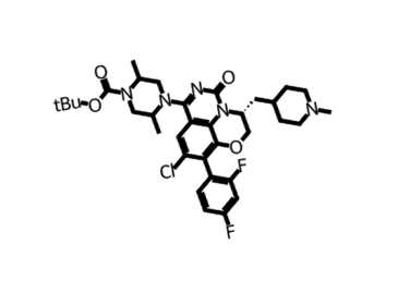 CC1CN(c2nc(=O)n3c4c(c(-c5ccc(F)cc5F)c(Cl)cc24)OC[C@H]3CC2CCN(C)CC2)C(C)CN1C(=O)OC(C)(C)C